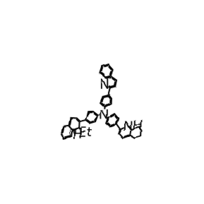 CCC1C(c2ccc(N(c3ccc(C4=CC=C5CCCCC5N4)cc3)c3ccc(-c4ccc5ccccc5n4)cc3)cc2)=CC=C2C=CC=C[C@@H]21